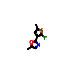 Cc1cnc(-c2cc(C)sc2F)o1